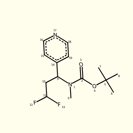 CN(C(=O)OC(C)(C)C)C(CC(F)F)c1ccncc1